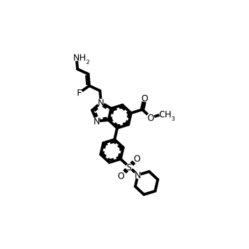 COC(=O)c1cc(-c2cccc(S(=O)(=O)N3CCCCC3)c2)c2ncn(CC(F)=CCN)c2c1